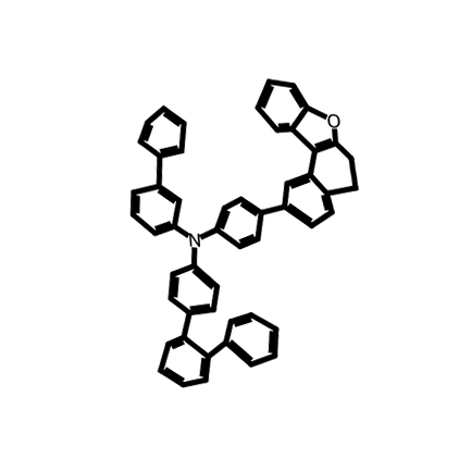 c1ccc(-c2cccc(N(c3ccc(-c4ccc5c(c4)-c4c(oc6ccccc46)CC5)cc3)c3ccc(-c4ccccc4-c4ccccc4)cc3)c2)cc1